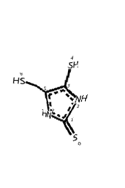 S=c1[nH]c(S)c(S)[nH]1